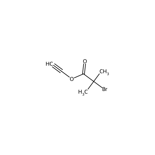 C#COC(=O)C(C)(C)Br